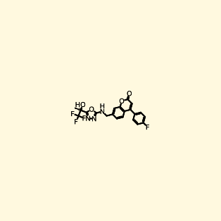 C[C@@](O)(c1nnc(NCc2ccc3c(-c4ccc(F)cc4)cc(=O)oc3c2)o1)C(F)(F)F